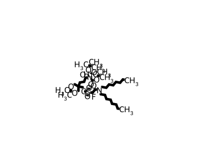 CCCCCCCCN(CCCCCCCC)C(=O)C(F)S(=O)(=O)OCC1(CCC(=O)N(C(=O)OC(C)(C)C)C(=O)OC(C)(C)C)COC(C)(C)OC1